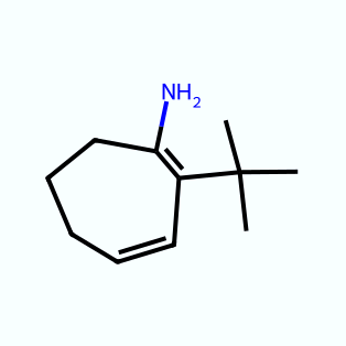 CC(C)(C)C1=C(N)CCCC=C1